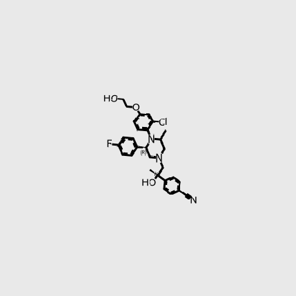 CC1CN(C[C@@](C)(O)c2ccc(C#N)cc2)C[C@@H](c2ccc(F)cc2)N1c1ccc(OCCO)cc1Cl